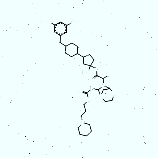 Cc1cc(C)cc(CC2CCC(C3CCC(C#N)(NC(=O)C(C)N4C5CN(CCO5)C4NC(=O)OCCCN4CCCCC4)C3)CC2)c1